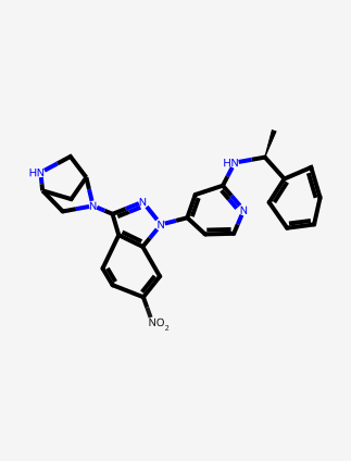 C[C@H](Nc1cc(-n2nc(N3CC4CC3CN4)c3ccc([N+](=O)[O-])cc32)ccn1)c1ccccc1